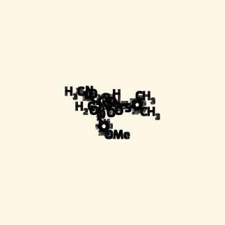 C=C(C1=C(C(=O)OCc2ccc(OC)cc2)N2C(=O)[C@@H](NC(=O)CSc3cc(C)cc(C)c3)[C@H]2SC1)c1cc(C)no1